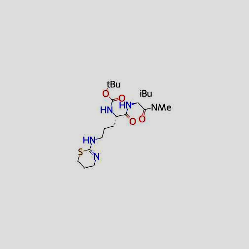 CC[C@H](C)[C@H](NC(=O)[C@H](CCCNC1=NCCCS1)NC(=O)OC(C)(C)C)C(=O)NC